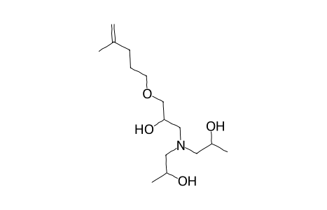 C=C(C)CCCOCC(O)CN(CC(C)O)CC(C)O